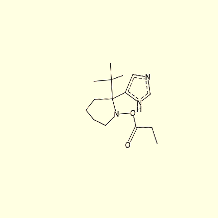 CCC(=O)ON1CCCCC1(c1cnc[nH]1)C(C)(C)C